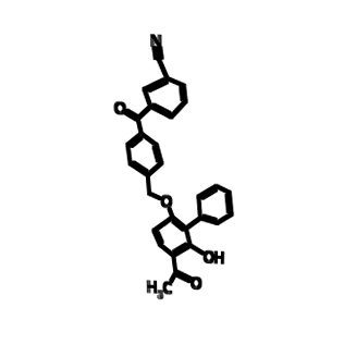 CC(=O)c1ccc(OCc2ccc(C(=O)c3cccc(C#N)c3)cc2)c(-c2ccccc2)c1O